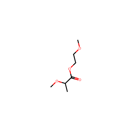 COCCOC(=O)C(C)OC